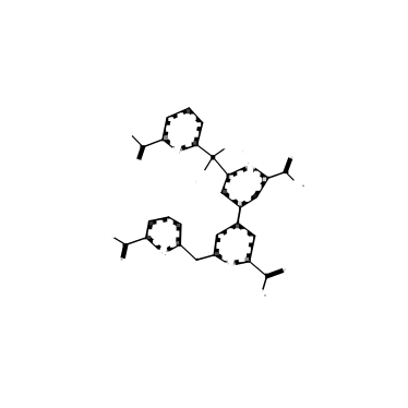 CC(C)(c1cccc(C(=O)O)n1)c1cc(-c2cc(Cc3cccc(C(=O)O)n3)nc(C(=O)O)c2)cc(C(=O)O)n1